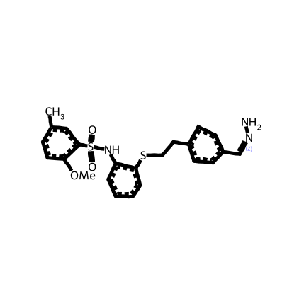 COc1ccc(C)cc1S(=O)(=O)Nc1ccccc1SCCc1ccc(/C=N\N)cc1